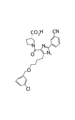 Cn1c(-c2cccc(C#N)c2)nc(C(=O)N2CC[C@H](C(=O)O)C2)c1CCCCOCc1cccc(Cl)c1